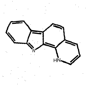 c1c[nH]c2c(c1)ccc1c3ccccc3nc12